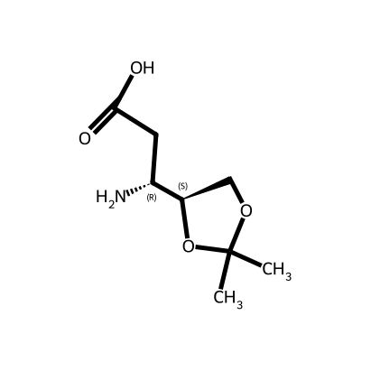 CC1(C)OC[C@H]([C@H](N)CC(=O)O)O1